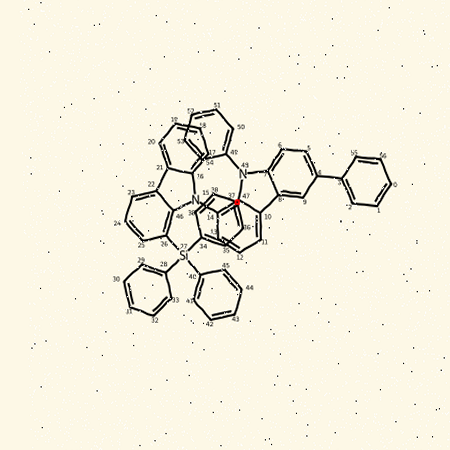 c1ccc(-c2ccc3c(c2)c2cccc(-n4c5ccccc5c5cccc([Si](c6ccccc6)(c6ccccc6)c6ccccc6)c54)c2n3-c2ccccc2)cc1